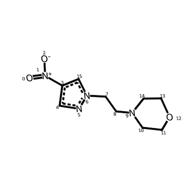 O=[N+]([O-])c1cnn(CCN2CCOCC2)c1